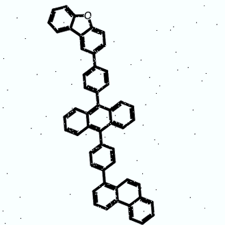 c1ccc2c(c1)ccc1c(-c3ccc(-c4c5ccccc5c(-c5ccc(-c6ccc7oc8ccccc8c7c6)cc5)c5ccccc45)cc3)cccc12